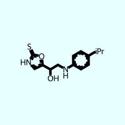 CC(C)c1ccc(NCC(O)c2c[nH]c(=S)o2)cc1